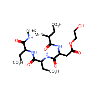 CCCCCCNC(=O)C(CC(=O)O)NC(=O)C(CC(=O)O)NC(=O)C(CC(=O)OCCO)NC(=O)C(CC(=O)O)NC